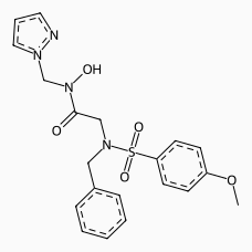 COc1ccc(S(=O)(=O)N(CC(=O)N(O)Cn2cccn2)Cc2ccccc2)cc1